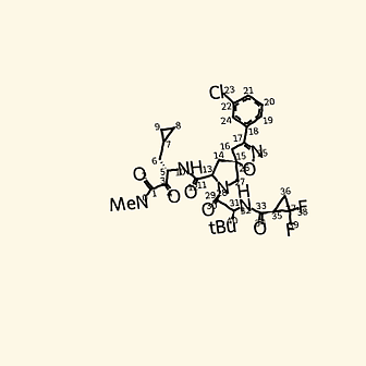 CNC(=O)C(=O)[C@H](CC1CC1)NC(=O)C1C[C@]2(CC(c3cccc(Cl)c3)=NO2)CN1C(=O)[C@@H](NC(=O)[C@H]1CC1(F)F)C(C)(C)C